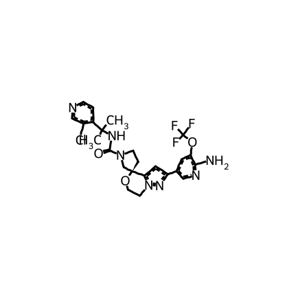 CC(C)(NC(=O)N1CC[C@]2(C1)OCCn1nc(-c3cnc(N)c(OC(F)(F)F)c3)cc12)c1ccncc1Cl